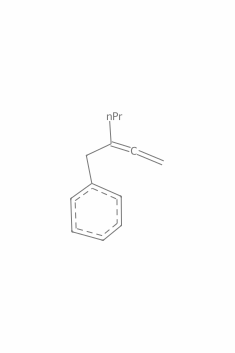 C=C=C(CCC)Cc1ccccc1